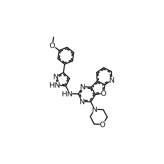 COc1cccc(-c2cc(Nc3nc(N4CCOCC4)c4oc5ncccc5c4n3)[nH]n2)c1